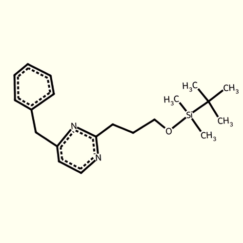 CC(C)(C)[Si](C)(C)OCCCc1nccc(Cc2ccccc2)n1